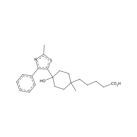 Cc1nc(-c2ccccc2)c(C2(O)CCC(C)(CCCCC(=O)O)CC2)s1